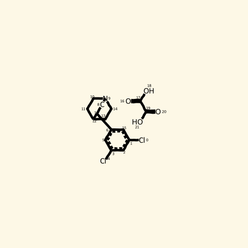 Clc1cc(Cl)cc(C2CN3CCC2CC3)c1.O=C(O)C(=O)O